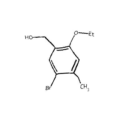 CCOc1cc(C)c(Br)cc1CO